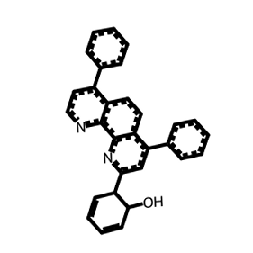 OC1C=CC=CC1c1cc(-c2ccccc2)c2ccc3c(-c4ccccc4)ccnc3c2n1